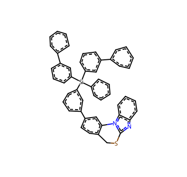 c1ccc(-c2cccc([Si](c3ccccc3)(c3cccc(-c4ccccc4)c3)c3cccc(-c4ccc5c(c4)-n4c(nc6ccccc64)SC5)c3)c2)cc1